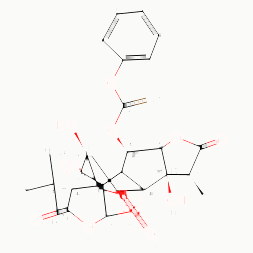 C[C@@H]1C(=O)OC2[C@H](OC(=S)Oc3ccccc3)C34C5OC(=O)[C@]3(OC3OC(=O)[C@H](O)C34[C@H](C(C)(C)C)[C@H]5O)[C@]21O